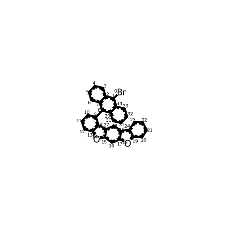 Brc1c2ccccc2c(-c2cccc3oc4cc5oc6ccccc6c5cc4c23)c2ccccc12